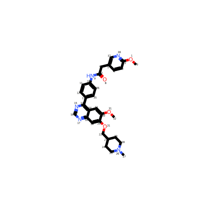 COc1ccc(CC(=O)Nc2ccc(-c3ncnc4cc(OCC5CCN(C)CC5)c(OC)cc34)cc2)cn1